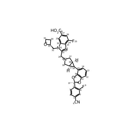 C[C@@]1(c2ccc(C#N)cc2F)Oc2cccc(C3[C@H]4CN(Cc5nc6c(F)cc(C(=O)O)cc6n5C[C@@H]5CCO5)C[C@@H]34)c2O1